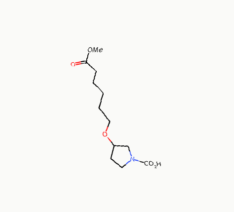 COC(=O)CCCCCOC1CCN(C(=O)O)C1